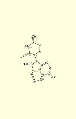 C=C1CCC(C2C(=O)c3ccnc4c(Br)ccc2c34)C(=O)N1